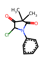 CC1(C)C(=O)C(Cl)N(c2ccccc2)C1=O